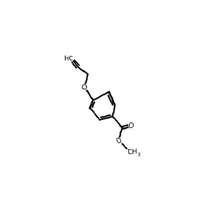 C#CCOc1ccc(C(=O)OC)cc1